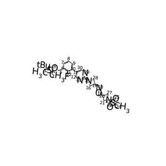 CC(C)(C)[Si](C)(C)OCc1cccc(-c2cnc(N3CC(=NOC4CN(S(C)(=O)=O)C4)C3)nc2)c1F